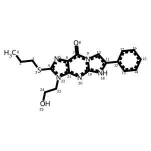 CCCSc1nc2c(=O)n3cc(-c4ccccc4)[nH]c3nc2n1CCO